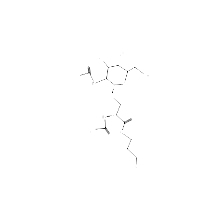 CC(=O)NC1C(O)[C@H](O)C(CO)O[C@H]1O[C@H](C)[C@H](NC(C)=O)C(=O)NCCCN